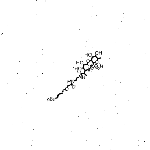 CCCC/C=C/CCOCC(=O)NCCNC(=O)C(C)C(C(C)C)C(O)C(O)C(OC)OC1C(C(=O)O)OC(C)C(O)C1O